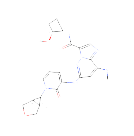 CNc1cc(Nc2cccn(C3[C@H]4COC[C@@H]34)c2=O)nn2c(C(=O)N[C@H]3CC[C@@H]3OC)cnc12